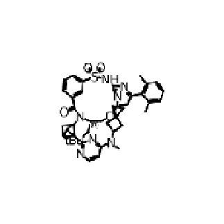 Cc1cccc(C)c1-c1cc2nc(n1)NS(=O)(=O)c1cccc(c1)C(=O)N(C13CC(C1)C3c1nccc(N(C)C3CC4(CC4)C3)n1)[C@H](CC(C)(C)C)CO2